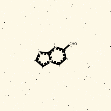 O=Cc1ccn2ccnc2n1